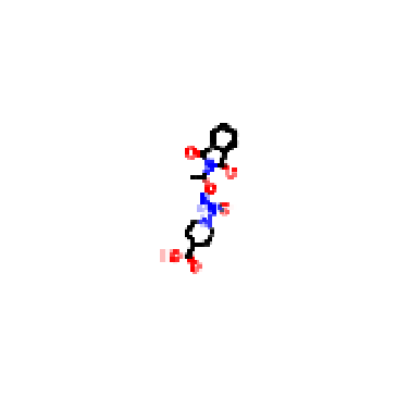 CC(O/N=[N+](\[O-])N1CCC(C(=O)O)CC1)N1C(=O)c2ccccc2C1=O